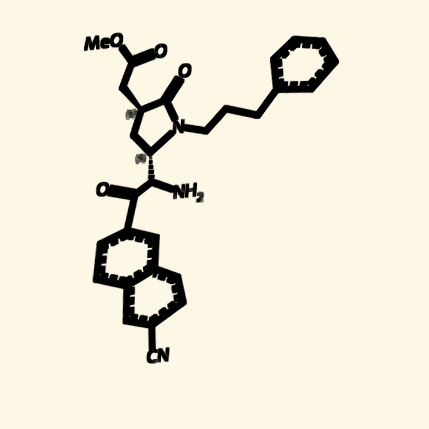 COC(=O)C[C@@H]1C[C@@H](C(N)C(=O)c2ccc3cc(C#N)ccc3c2)N(CCCc2ccccc2)C1=O